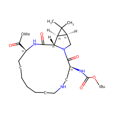 COC(=O)[C@@H]1CCCCCCCNC[C@H](NC(=O)OC(C)(C)C)C(=O)N2C[C@H]3[C@@H]([C@H]2C(=O)N1)C3(C)C